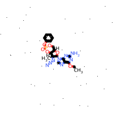 CCOc1nc(N)nc2c1ncn2[C@@H]1O[C@@H]2COP(=O)(Oc3ccccc3)O[C@H]2[C@@]1(C)N=[N+]=[N-]